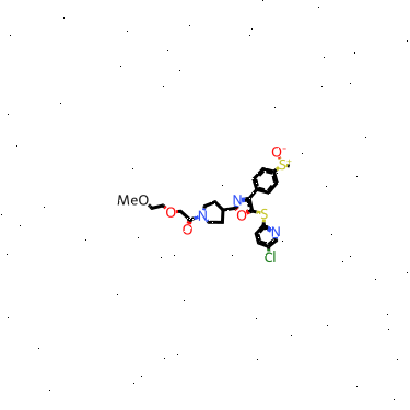 COCCOCC(=O)N1CCC(c2nc(-c3ccc([S+](C)[O-])cc3)c(Sc3ccc(Cl)cn3)o2)CC1